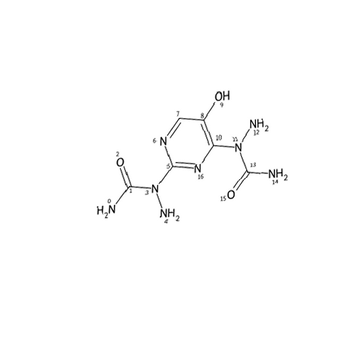 NC(=O)N(N)c1ncc(O)c(N(N)C(N)=O)n1